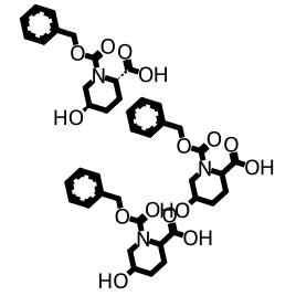 O=C(O)C1CCC(O)CN1C(=O)OCc1ccccc1.O=C(O)C1CCC(O)CN1C(=O)OCc1ccccc1.O=C(O)[C@@H]1CC[C@@H](O)CN1C(=O)OCc1ccccc1